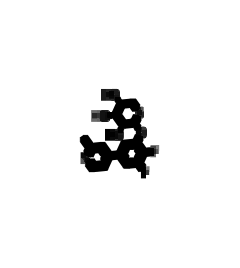 Cc1cc(-c2cc(F)c(F)c(O[C@@H]3SC[C@@H](O)[C@H](O)[C@H]3O)c2)ccn1